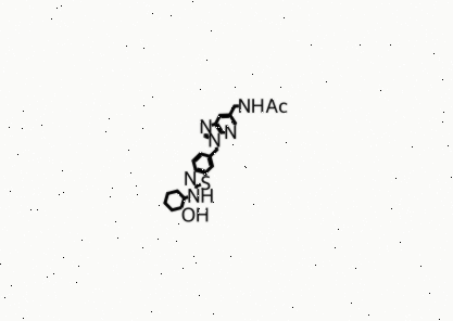 CC(=O)NCc1cnc2c(c1)ncn2Cc1ccc2nc(NC3CCCCC3O)sc2c1